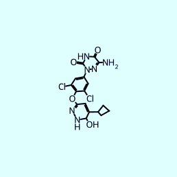 Nc1nn(-c2cc(Cl)c(OC3=NNC(O)C(C4CCC4)=C3)c(Cl)c2)c(=O)[nH]c1=O